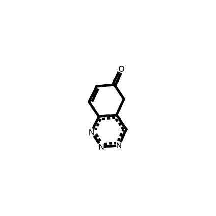 O=C1C=Cc2nnncc2C1